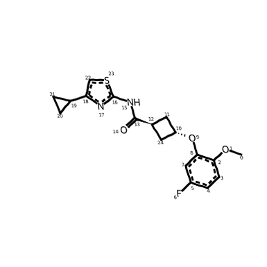 COc1ccc(F)cc1O[C@H]1C[C@H](C(=O)Nc2nc(C3CC3)cs2)C1